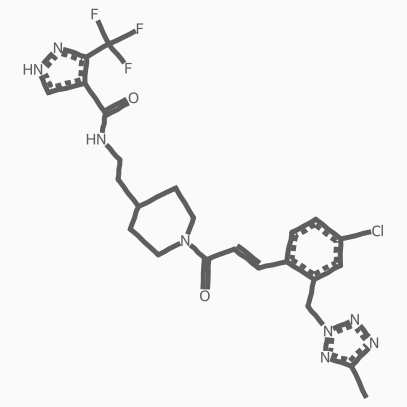 Cc1nnn(Cc2cc(Cl)ccc2C=CC(=O)N2CCC(CCNC(=O)c3c[nH]nc3C(F)(F)F)CC2)n1